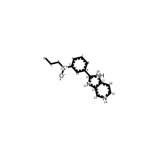 CCC[S+]([O-])c1cccc(-c2nc3cnccc3[nH]2)c1